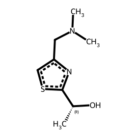 C[C@@H](O)c1nc(CN(C)C)cs1